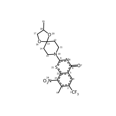 Cc1c(C(F)(F)F)cc2c(=O)nc(N3CCC4(CC3)OCC(C)O4)sc2c1[N+](=O)[O-]